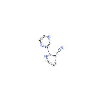 N#Cc1cccnc1-c1cnc[c]n1